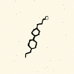 CCCC1CCC(C2CCC(CCC=O)CC2)CC1